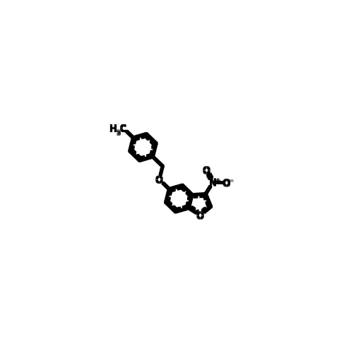 Cc1ccc(COc2ccc3occ([N+](=O)[O-])c3c2)cc1